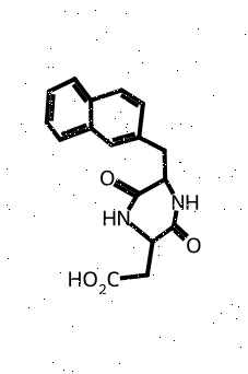 O=C(O)CC1NC(=O)C(Cc2ccc3ccccc3c2)NC1=O